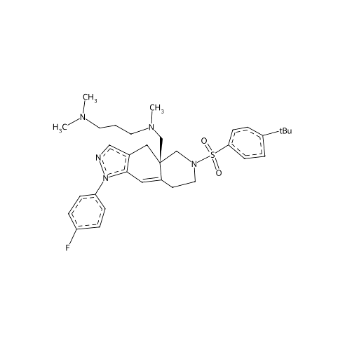 CN(C)CCCN(C)C[C@]12Cc3cnn(-c4ccc(F)cc4)c3C=C1CCN(S(=O)(=O)c1ccc(C(C)(C)C)cc1)C2